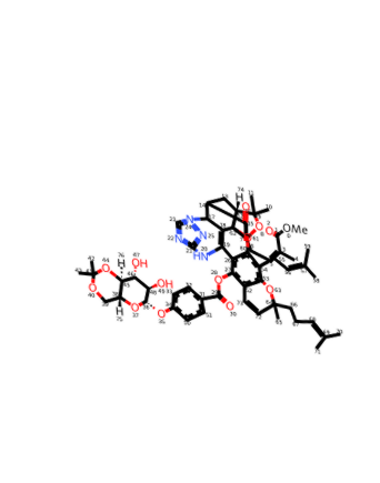 COC(=O)/C(C)=C\CC12OC(C)(C)[C@H]3CC(C1=O)C1C4=C(Nc5ncn1n5)c1c(OC(=O)c5ccc(O[C@@H]6O[C@@H]7COC(C)(C)O[C@H]7[C@H](O)[C@H]6O)cc5)c5c(c(CC=C(C)C)c1OC432)OC(C)(CCC=C(C)C)C=C5